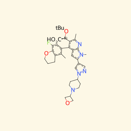 Cc1nc2c(cc(-c3cnn(C4CCN(C5COC5)CC4)c3)n2C)c(-c2cc(F)c3c(c2C)CCCO3)c1[C@H](OC(C)(C)C)C(=O)O